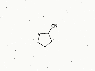 N#CC1[C]CCC1